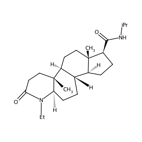 CCN1C(=O)CC[C@]2(C)[C@H]3CC[C@]4(C)[C@@H](C(=O)NC(C)C)CC[C@H]4[C@@H]3CC[C@@H]12